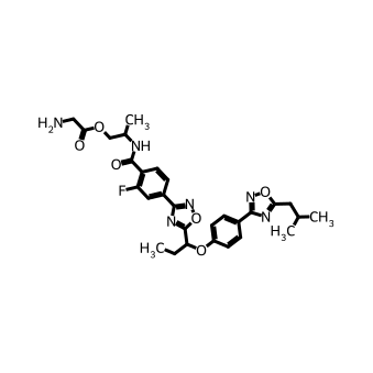 CCC(Oc1ccc(-c2noc(CC(C)C)n2)cc1)c1nc(-c2ccc(C(=O)NC(C)COC(=O)CN)c(F)c2)no1